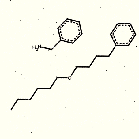 CCCCCCOCCCCc1ccccc1.NCc1ccccc1